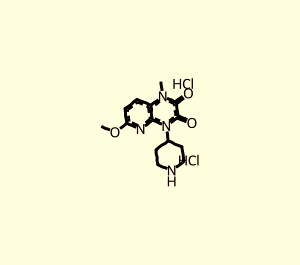 COc1ccc2c(n1)n(C1CCNCC1)c(=O)c(=O)n2C.Cl.Cl